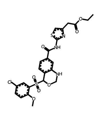 CCOC(=O)Cc1csc(NC(=O)c2ccc3c(c2)NCOC3S(=O)(=O)c2cc(Cl)ccc2OC)n1